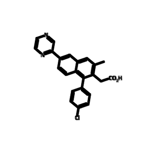 Cc1cc2cc(-c3cnccn3)ccc2c(-c2ccc(Cl)cc2)c1CC(=O)O